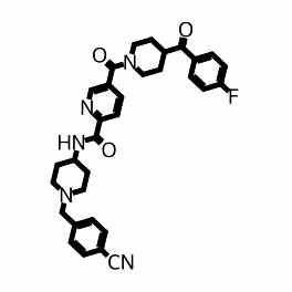 N#Cc1ccc(CN2CCC(NC(=O)c3ccc(C(=O)N4CCC(C(=O)c5ccc(F)cc5)CC4)cn3)CC2)cc1